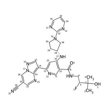 CC(C)(O)C(F)CNC(=O)c1cnc(-c2cnn3cc(C#N)cnc23)cc1N[C@@H]1CCN(c2ncccn2)C1